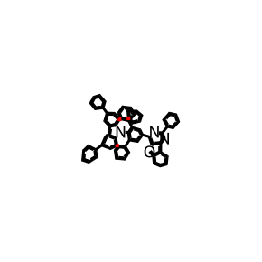 c1ccc(-c2ccc3c(c2)c2cc(-c4ccccc4)cc(-c4ccccc4)c2n3-c2c(-c3ccccc3)cc(-c3nc(-c4ccccc4)nc4c3oc3ccccc34)cc2-c2ccccc2)cc1